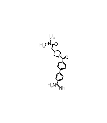 CN(C)C(=O)CC1CCN(C(=O)c2ccc(-c3ccc(C(=N)N)cc3)cc2)CC1